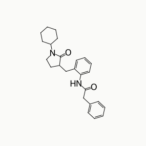 O=C(Cc1ccccc1)Nc1ccccc1CC1CCN(C2CCCCC2)C1=O